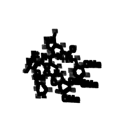 CCn1nc(C)c(OCc2ccccc2)c1-c1nc(-c2nc(C(=O)NCc3ccc(OC)cc3OC)cc3c2cnn3C)c(CN(Cc2ccc(OC)cc2OC)C(=O)OC(C)(C)C)o1